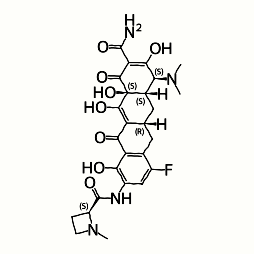 CN(C)[C@@H]1C(O)=C(C(N)=O)C(=O)[C@@]2(O)C(O)=C3C(=O)c4c(O)c(NC(=O)[C@@H]5CCN5C)cc(F)c4C[C@H]3C[C@@H]12